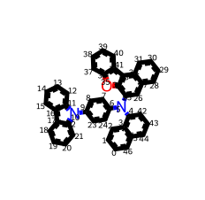 c1ccc2c(N(c3ccc(-n4c5ccccc5c5ccccc54)cc3)c3cc4ccccc4c4c3oc3ccccc34)cccc2c1